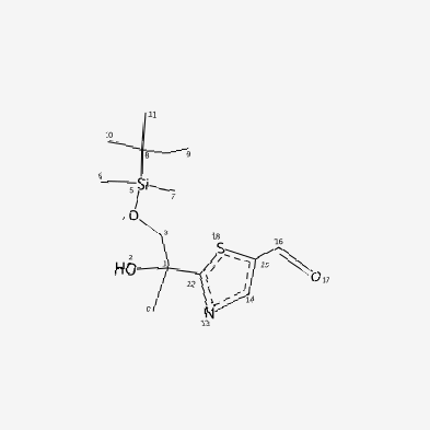 CC(O)(CO[Si](C)(C)C(C)(C)C)c1ncc(C=O)s1